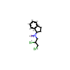 BrCC(Br)CN(I)C1CCc2ccccc21